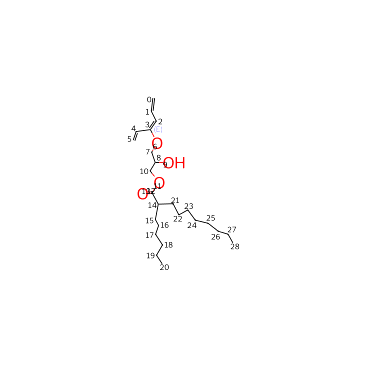 C=C/C=C(\C=C)OCC(O)COC(=O)C(CCCCCC)CCCCCCCC